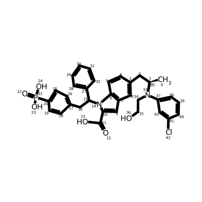 C[C@H](Cc1ccc2c(c1)cc(C(=O)O)n2C(Cc1ccc(P(=O)(O)O)cc1)c1ccccc1)N(CCO)c1cccc(Cl)c1